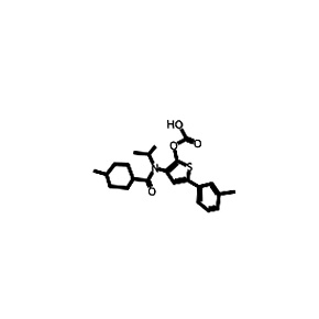 Cc1cccc(-c2cc(N(C(=O)C3CCC(C)CC3)C(C)C)c(OC(=O)O)s2)c1